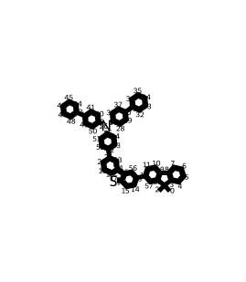 CC1(C)c2ccccc2-c2ccc(-c3ccc4sc5ccc(-c6ccc(N(c7ccc(-c8ccccc8)cc7)c7ccc(-c8ccccc8)cc7)cc6)cc5c4c3)cc21